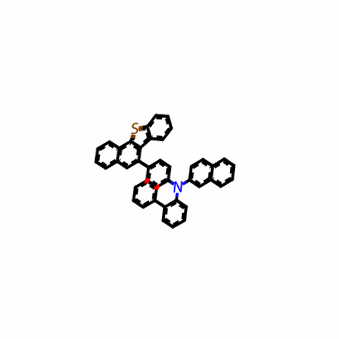 c1ccc(-c2ccccc2N(c2ccc(-c3cc4ccccc4c4sc5ccccc5c34)cc2)c2ccc3ccccc3c2)cc1